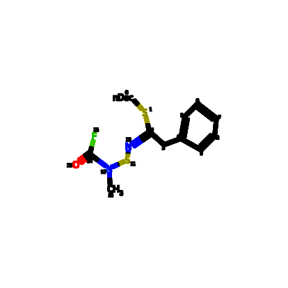 CCCCCCCCCCS/C(Cc1ccccc1)=N/SN(C)C(=O)F